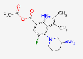 Cc1[nH]c2c(C(=O)OC(=O)C(F)(F)F)cc(F)c(N3CCC[C@H](N)C3)c2c1C